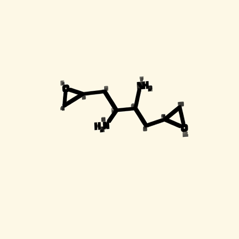 NC(CC1CO1)C(N)CC1CO1